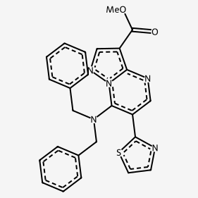 COC(=O)c1cnn2c(N(Cc3ccccc3)Cc3ccccc3)c(-c3nccs3)cnc12